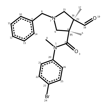 CN(C(=O)[C@@]1(C)CN(Cc2ccccc2)C[C@@]1(C)C=O)c1ccc(Br)cc1